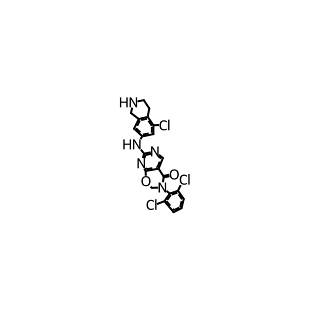 O=C1c2cnc(Nc3cc(Cl)c4c(c3)CNCC4)nc2OCN1c1c(Cl)cccc1Cl